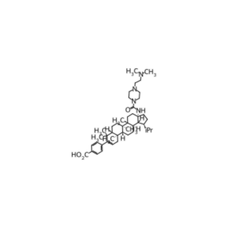 CC(C)[C@@H]1CC[C@]2(NC(=O)N3CCN(CCN(C)C)CC3)CC[C@]3(C)[C@H](CC[C@@H]4[C@@]5(C)CC=C(c6ccc(C(=O)O)cc6)C(C)(C)[C@@H]5CC[C@]43C)[C@@H]12